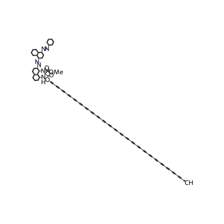 C#CC#CC#CC#CC#CC#CC#CC#CC#CC#CC#CC#CC#CC#CC#CC#CC#CC#CC#CC#CC#CC#CC#CC#COC(=O)C1(C(=O)OC)Nc2cccc3ccc(/N=N/c4ccc(/N=N/c5ccccc5)c5ccccc45)c(c23)N1